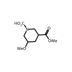 COC(=O)C1CC(OC)CN(C(=O)O)C1